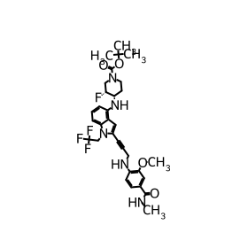 CNC(=O)c1ccc(NCC#Cc2cc3c(N[C@H]4CCN(C(=O)OC(C)(C)C)C[C@H]4F)cccc3n2CC(F)(F)F)c(OC)c1